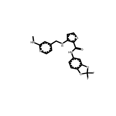 CNc1cc(CNc2ccsc2C(=O)Nc2ccc3c(c2)OC(F)(F)O3)ccn1